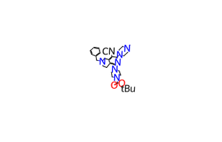 CN1CCN(c2nc(N3CCN(C(=O)OC(C)(C)C)CC3)c3c(c2C#N)CN(Cc2ccccc2)CC3)CC1